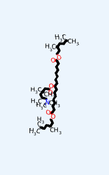 CC(C)CCC(C)CCOC(=O)CCCCCCCC(CCCCCCCC(=O)OCCC(C)CCC(C)C)OC(=O)CC(C)(C)CC(C)CN(C)C